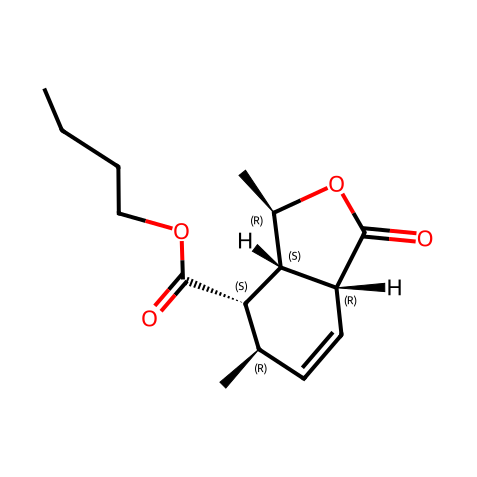 CCCCOC(=O)[C@@H]1[C@@H]2[C@@H](C)OC(=O)[C@@H]2C=C[C@H]1C